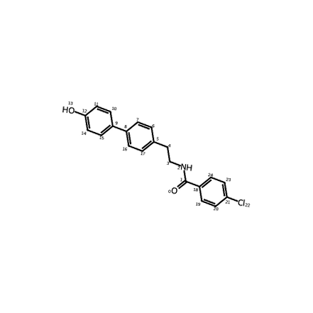 O=C(NCCc1ccc(-c2ccc(O)cc2)cc1)c1ccc(Cl)cc1